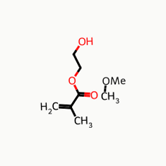 C=C(C)C(=O)OCCO.COC